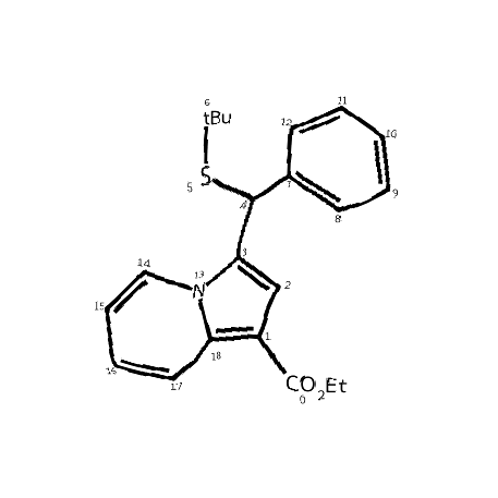 CCOC(=O)c1cc(C(SC(C)(C)C)c2ccccc2)n2ccccc12